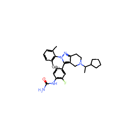 Cc1cccc(OCC(C)C)c1-n1nc2c(c1-c1ccc(NC(N)=O)c(F)c1)CN(C(C)C1CCCC1)CC2